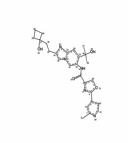 Cc1cc(-c2nc(C(=O)Nc3cn4cc(CCC5(O)CCC5)nc4cc3C(C)(C)O)co2)ccn1